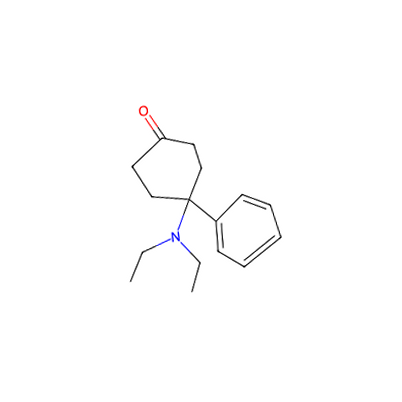 CCN(CC)C1(c2ccccc2)CCC(=O)CC1